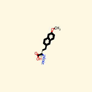 COc1ccc2cc(CC[C@H](N=[N+]=[N-])C(=O)O)ccc2c1